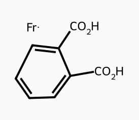 O=C(O)c1ccccc1C(=O)O.[Fr]